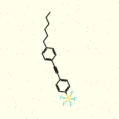 CCCCCCc1ccc(C#Cc2ccc(S(F)(F)(F)(F)F)cc2)cc1